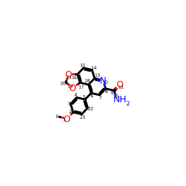 COc1ccc(-c2cc(C(N)=O)nc3ccc4c(c23)OCO4)cc1